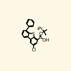 CC(C)C(C)(C)OB(O)c1cc(Cl)cc2c1sc1c(-c3ccccc3)cccc12